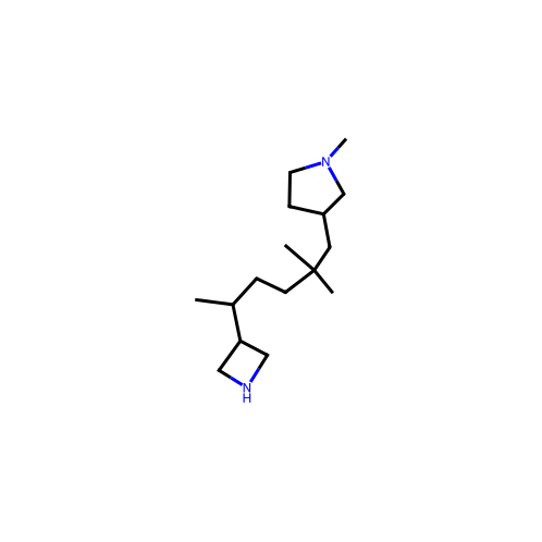 CC(CCC(C)(C)CC1CCN(C)C1)C1CNC1